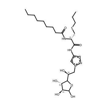 [CH2][CH]CSC[C@@H](NC(=O)CCCCCCCC)C(=O)Nc1cn(C[C@H](O)C2OC(O)[C@@H](O)[C@@H]2O)nn1